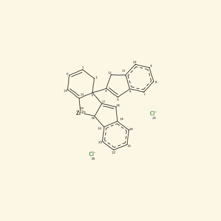 C1=CCC2(C3=Cc4ccccc4C3)[C](=C1)[Zr+2][CH]1C2=Cc2ccccc21.[Cl-].[Cl-]